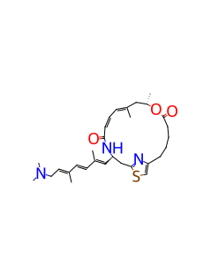 CC(/C=C/C(C)=C/[C@@H]1Cc2nc(cs2)CCCCC(=O)O[C@@H](C)C/C(C)=C/C=C\C(=O)N1)=C\CN(C)C